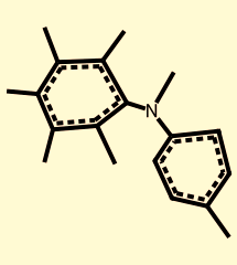 Cc1ccc(N(C)c2c(C)c(C)c(C)c(C)c2C)cc1